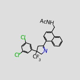 CC(=O)NCc1ccc(C2=NCC(c3cc(Cl)cc(Cl)c3)(C(F)(F)F)C2)c2ccccc12